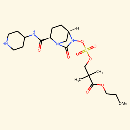 COCCOC(=O)C(C)(C)COS(=O)(=O)ON1C(=O)N2C[C@H]1CC[C@@H]2C(=O)NC1CCNCC1